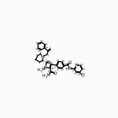 C=C(CN1CCCC[C@H]1c1nc(-c2ccc(C(=O)Nc3cc(Cl)ccn3)cc2)c(C(N)=O)n1N)c1ccccc1